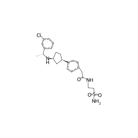 C[C@@H](N[C@H]1CC[C@@H](c2ccc(CC(=O)NCCS(N)(=O)=O)cc2)C1)c1cccc(Cl)c1